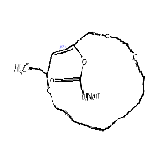 CCCCCCCCCC(=O)O/C1=C\C(C)CCCCCCCCCCCC1